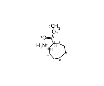 COC(=O)[C@@H]1CCCCCC[C@@H]1N